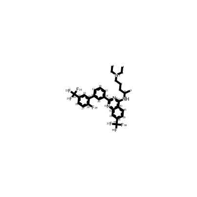 CCN(CC)CCCC(C)Nc1nc(-c2cccc(-c3cc(C(F)(F)F)ccc3F)c2)nc2cc(C(F)(F)F)ccc12